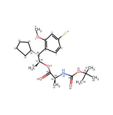 COc1cc(F)ccc1[C@@H](C1CCCC1)[C@H](C)OC(=O)[C@H](C)NC(=O)OC(C)(C)C